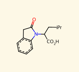 CC(C)CC(C(=O)O)N1C(=O)Cc2ccccc21